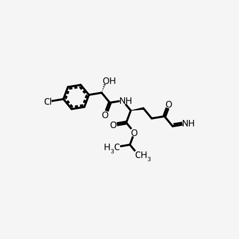 CC(C)OC(=O)[C@H](CCC(=O)C=N)NC(=O)[C@@H](O)c1ccc(Cl)cc1